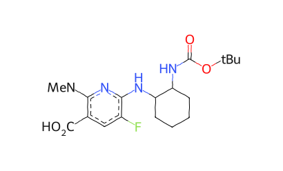 CNc1nc(NC2CCCCC2NC(=O)OC(C)(C)C)c(F)cc1C(=O)O